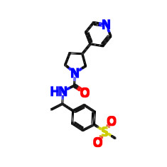 CC(NC(=O)N1CCC(c2ccncc2)C1)c1ccc(S(C)(=O)=O)cc1